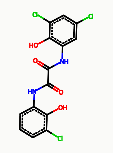 O=C(Nc1cccc(Cl)c1O)C(=O)Nc1cc(Cl)cc(Cl)c1O